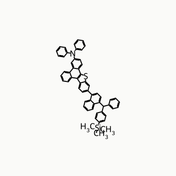 C[Si](C)(C)c1ccc(C(c2ccccc2)c2ccc(-c3ccc4c(c3)sc3c5ccc(N(c6ccccc6)c6ccccc6)cc5c5ccccc5c43)c3ccccc23)cc1